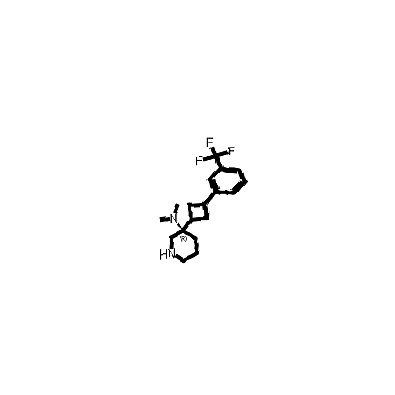 CN(C)[C@@]1(C2CC(c3cccc(C(F)(F)F)c3)C2)CCCNC1